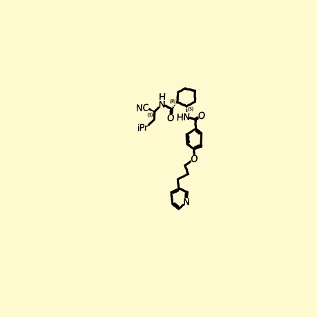 CC(C)C[C@@H](C#N)NC(=O)[C@@H]1CCCC[C@@H]1NC(=O)c1ccc(OCCCc2cccnc2)cc1